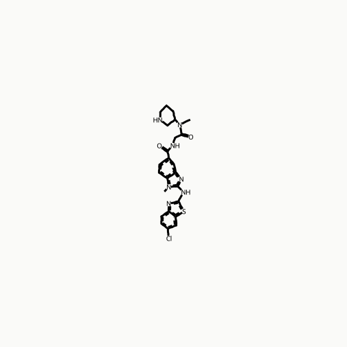 CN(C(=O)CNC(=O)c1ccc2c(c1)nc(Nc1nc3ccc(Cl)cc3s1)n2C)C1CCCNC1